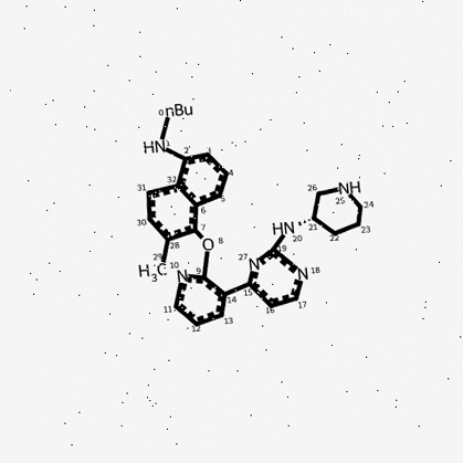 CCCCNc1cccc2c(Oc3ncccc3-c3ccnc(N[C@H]4CCCNC4)n3)c(C)ccc12